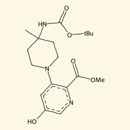 COC(=O)c1ncc(O)cc1N1CCC(C)(NC(=O)OC(C)(C)C)CC1